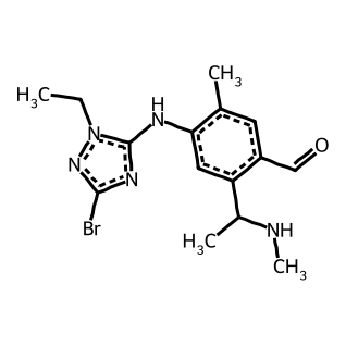 CCn1nc(Br)nc1Nc1cc(C(C)NC)c(C=O)cc1C